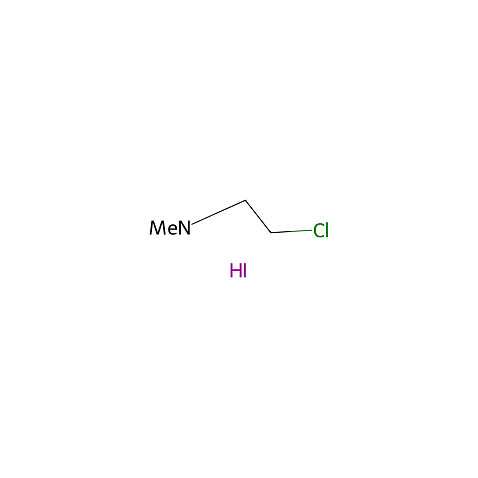 CNCCCl.I